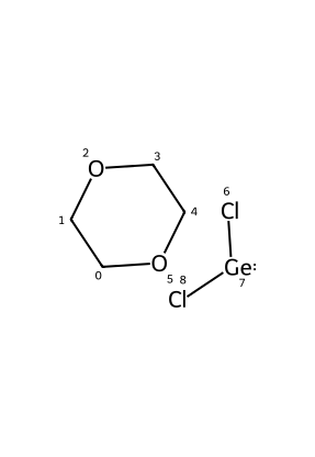 C1COCCO1.[Cl][Ge][Cl]